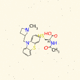 CC(=O)N[C@@H](CS)C(=O)O.CN1CCC(CN2c3ccccc3Sc3ccccc32)C1